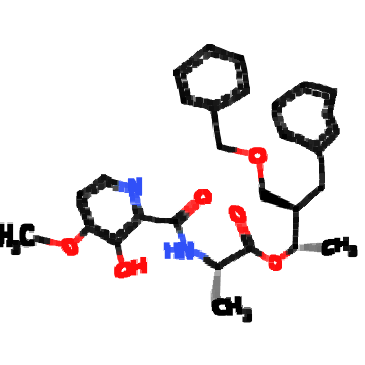 COc1ccnc(C(=O)N[C@@H](C)C(=O)O[C@@H](C)[C@@H](COCc2ccccc2)Cc2ccccc2)c1O